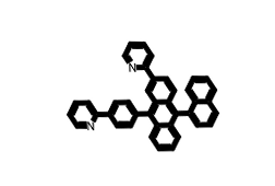 c1ccc(-c2ccc(-c3c4ccccc4c(-c4cccc5ccccc45)c4ccc(-c5ccccn5)cc34)cc2)nc1